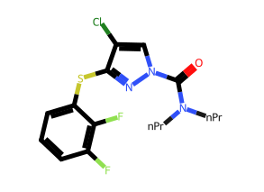 CCCN(CCC)C(=O)n1cc(Cl)c(Sc2cccc(F)c2F)n1